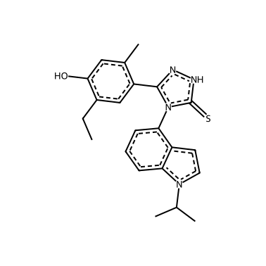 CCc1cc(-c2n[nH]c(=S)n2-c2cccc3c2ccn3C(C)C)c(C)cc1O